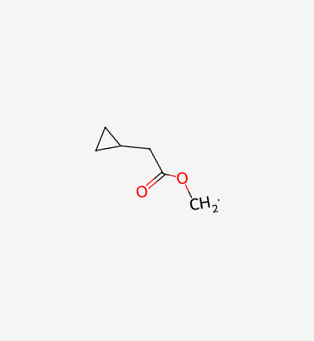 [CH2]OC(=O)CC1CC1